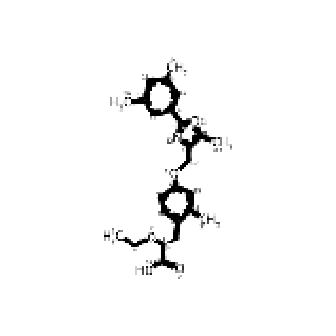 CCO[C@@H](Cc1ccc(OCc2nc(-c3cc(C)cc(C)c3)oc2C)cc1C)C(=O)O